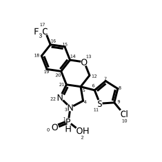 O=[PH](O)N1CC2(c3ccc(Cl)s3)COc3cc(C(F)(F)F)ccc3C2=N1